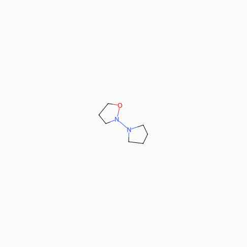 C1CCN(N2CCCO2)C1